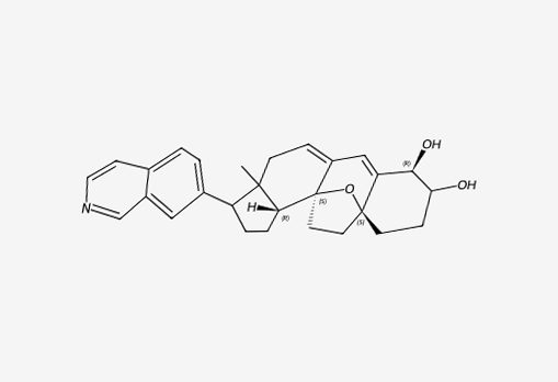 CC12CC=C3C=C4[C@@H](O)C(O)CC[C@]45CC[C@]3(O5)[C@@H]1CCC2c1ccc2ccncc2c1